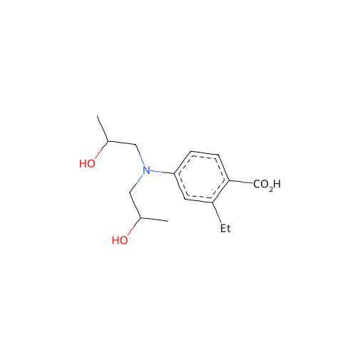 CCc1cc(N(CC(C)O)CC(C)O)ccc1C(=O)O